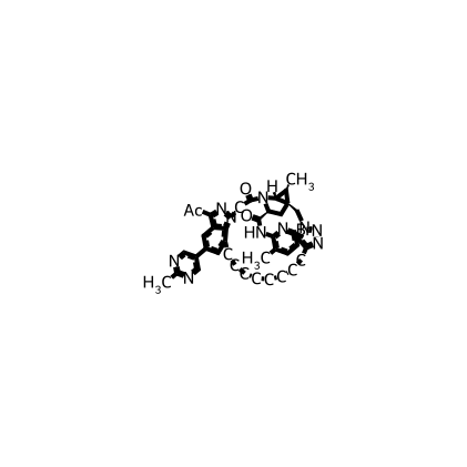 CC(=O)c1nn2c3c(cc(-c4cnc(C)nc4)cc13)CCCCCCCCc1cn(nn1)C[C@@]13C[C@@H](C(=O)Nc4nc(Br)ccc4C)N(C(=O)C2)[C@@H]1[C@@H]3C